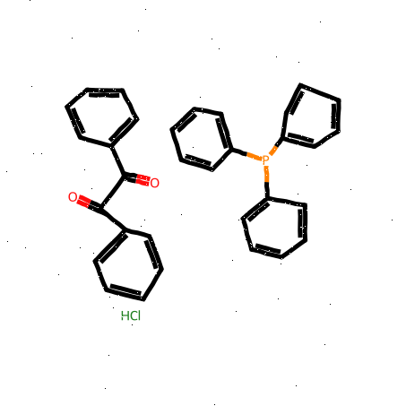 Cl.O=C(C(=O)c1ccccc1)c1ccccc1.c1ccc(P(c2ccccc2)c2ccccc2)cc1